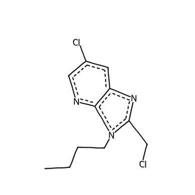 CCCCn1c(CCl)nc2cc(Cl)cnc21